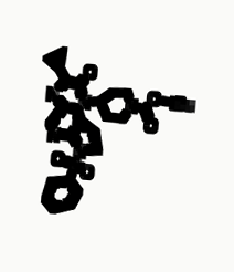 CC(C)(C)OC(=O)N1CCC(n2c(=O)c(C3CC3)nc3cnc4c(ccn4S(=O)(=O)c4ccccc4)c32)CC1